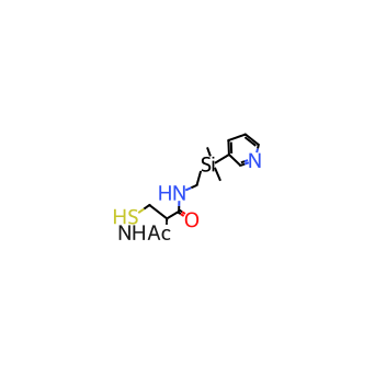 CC(=O)NC(CS)C(=O)NCC[Si](C)(C)c1cccnc1